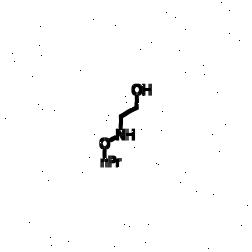 CCCONCCO